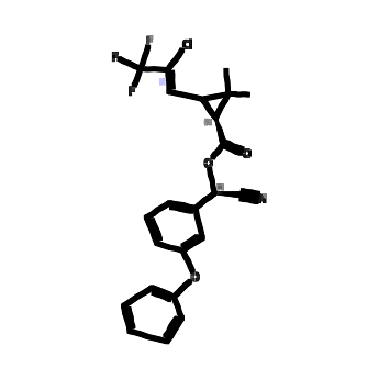 CC1(C)C(/C=C(\Cl)C(F)(F)F)[C@@H]1C(=O)O[C@@H](C#N)c1cccc(Oc2ccccc2)c1